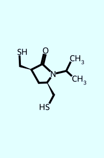 CC(C)N1C(=O)[C@H](CS)C[C@@H]1CS